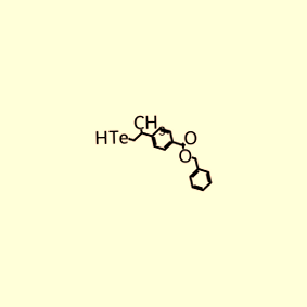 CC(C[TeH])c1ccc(C(=O)OCc2ccccc2)cc1